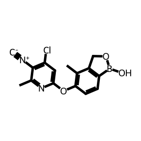 [C-]#[N+]c1c(Cl)cc(Oc2ccc3c(c2C)COB3O)nc1C